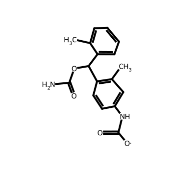 Cc1ccccc1C(OC(N)=O)c1ccc(NC([O])=O)cc1C